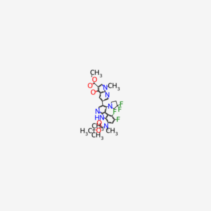 CCOC(=O)c1cn(C)c2ncc(-c3cnc4[nH]c5c(N(C)C(=O)OC(C)(C)C)cc(F)c(F)c5c4c3N3CCC(F)(F)C3)cc2c1=O